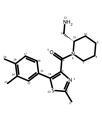 Cc1nc(C(=O)N2CCCC[C@H]2CN)c(-c2ccc(C)c(C)c2)s1